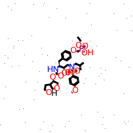 CCOP(=O)(O)COc1ccc(C[C@H](NC(=O)O[C@H]2CO[C@H]3OCCC32)[C@H](O)CN(CC(C)C)S(=O)(=O)c2ccc(OC)cc2)cc1